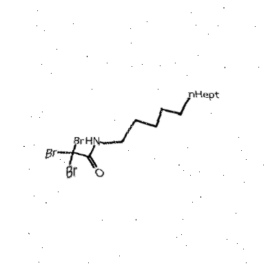 CCCCCCCCCCCCNC(=O)C(Br)(Br)Br